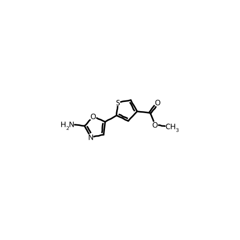 COC(=O)c1csc(-c2cnc(N)o2)c1